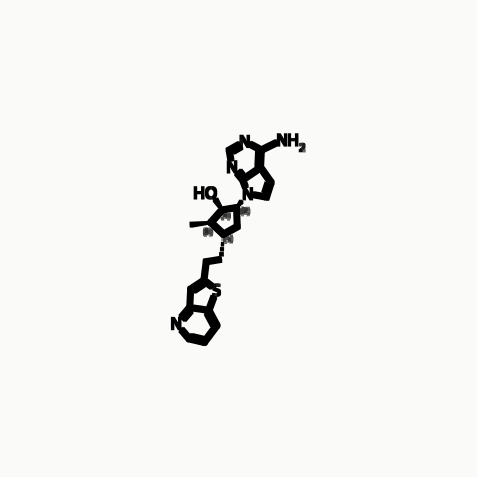 C[C@@H]1[C@@H](CCc2cc3ncccc3s2)C[C@@H](n2ccc3c(N)ncnc32)[C@@H]1O